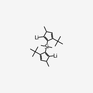 [Li][C]1=C([Si](C)(C)C2=[C]([Li])C(C)C=C2C(C)(C)C)C(C(C)(C)C)=CC1C